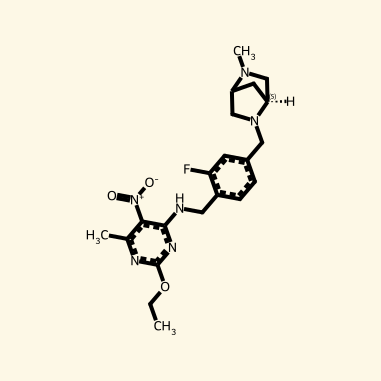 CCOc1nc(C)c([N+](=O)[O-])c(NCc2ccc(CN3CC4C[C@H]3CN4C)cc2F)n1